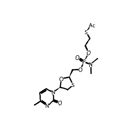 CC(=O)SCCOP(=O)(OC[C@@H]1O[C@H](n2ccc(C)nc2=O)CS1)N(C)C